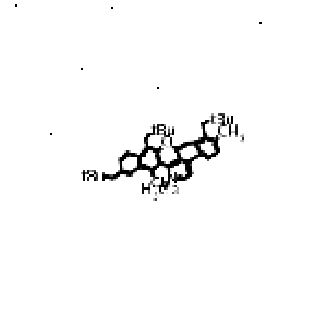 Cc1ccc2c(cc3c4c([n+](C)ccc42)-c2c(c(CC(C)(C)C)c4ccc(CC(C)(C)C)cc4c2C)O3)c1CC(C)(C)C